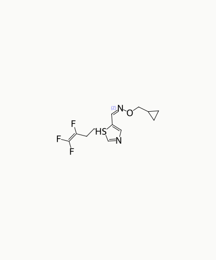 FC(F)=C(F)CC[SH]1C=NC=C1/C=N\OCC1CC1